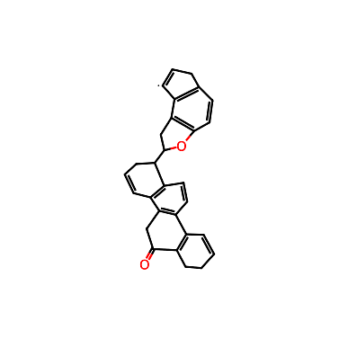 O=C1Cc2c(ccc3c2C=CCC3C2Cc3c(ccc4c3[C]=CC4)O2)C2=C1CCC=C2